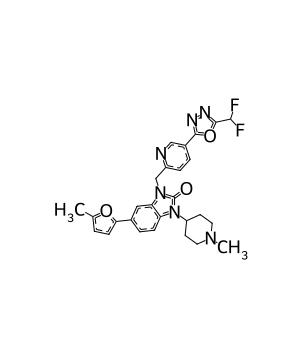 Cc1ccc(-c2ccc3c(c2)n(Cc2ccc(-c4nnc(C(F)F)o4)cn2)c(=O)n3C2CCN(C)CC2)o1